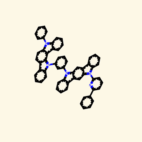 c1ccc(-c2cccc(-n3c4ccccc4c4cc5c(cc43)c3ccccc3n5-c3cccc(-n4c5ccccc5c5ccc6c(c7ccccc7n6-c6ccccc6)c54)c3)n2)cc1